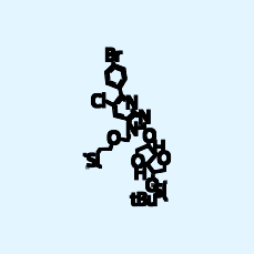 CC(C)(C)[Si](C)(C)O[C@@H]1CO[C@H]2[C@@H]1OC[C@H]2Oc1nc2nc(-c3ccc(Br)cc3)c(Cl)cc2n1COCC[Si](C)(C)C